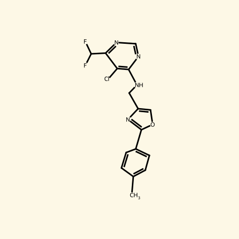 Cc1ccc(-c2nc(CNc3ncnc(C(F)F)c3Cl)co2)cc1